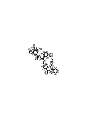 CCOCCn1c(C(=O)C2CCN(CCC(CN(C)C(=O)c3cc(OC)c(OC)c(OC)c3)c3cccc(Cl)c3)CC2)nc2ccccc21